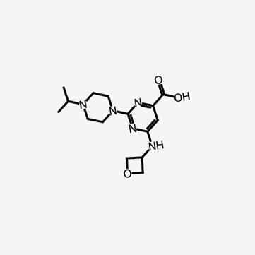 CC(C)N1CCN(c2nc(NC3COC3)cc(C(=O)O)n2)CC1